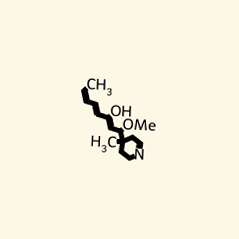 C\C=C/C=C/C(O)=C/C(OC)C1(C)CC=NCC1